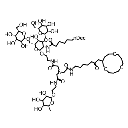 CCCCCCCCCCCCCCCC(=O)N[C@H]1[C@H](OCCNC(=O)CN(CC(=O)NCCCCCC(=O)CC2CCCCCCCCCCCC2)CC(=O)NCCO[C@@H]2O[C@@H](C)[C@@H](O)[C@@H](O)[C@@H]2O)O[C@H](CO[C@H]2O[C@H](CO)[C@@H](O)[C@H](O)[C@@H]2O)[C@@H](O)[C@@H]1O[C@H]1O[C@H](CO)[C@@H](O)[C@H](O)[C@@H]1O